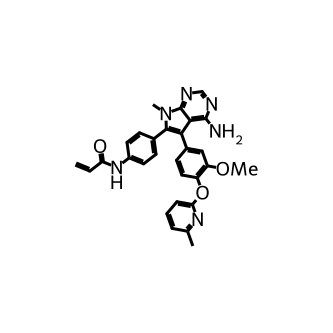 C=CC(=O)Nc1ccc(-c2c(-c3ccc(Oc4cccc(C)n4)c(OC)c3)c3c(N)ncnc3n2C)cc1